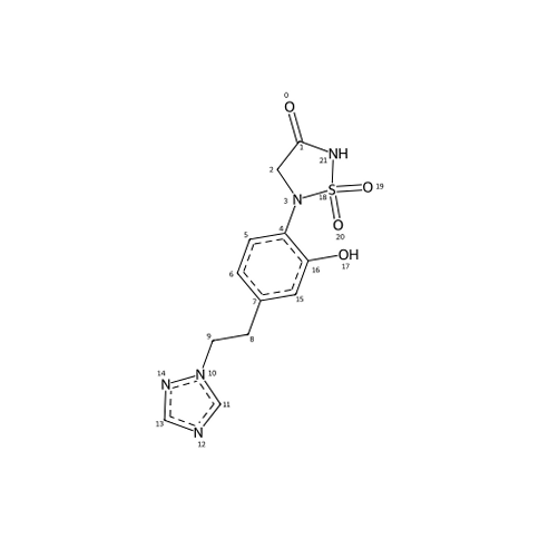 O=C1CN(c2ccc(CCn3cncn3)cc2O)S(=O)(=O)N1